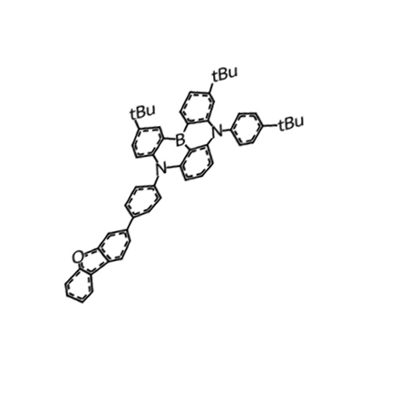 CC(C)(C)c1ccc(N2c3cc(C(C)(C)C)ccc3B3c4cc(C(C)(C)C)ccc4N(c4ccc(-c5ccc6c(c5)oc5ccccc56)cc4)c4cccc2c43)cc1